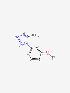 Cc1nnnn1-c1cccc(OC(C)C)c1